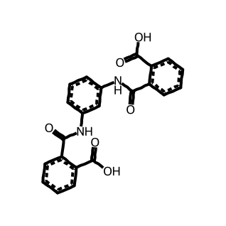 O=C(O)c1ccccc1C(=O)Nc1cccc(NC(=O)c2ccccc2C(=O)O)c1